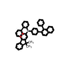 CC1(C)c2ccccc2-c2ccc(N(c3ccc(-c4ccc5ccccc5c4-c4ccccc4)cc3)c3ccccc3-c3ccccc3)cc21